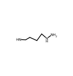 [NH]CCCCNN